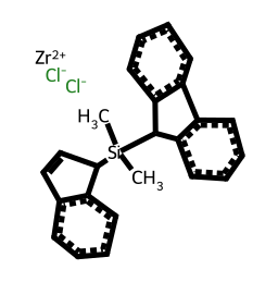 C[Si](C)(C1C=Cc2ccccc21)C1c2ccccc2-c2ccccc21.[Cl-].[Cl-].[Zr+2]